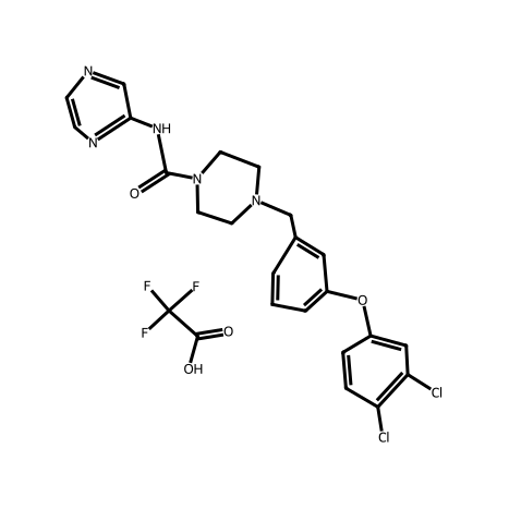 O=C(Nc1cnccn1)N1CCN(Cc2cccc(Oc3ccc(Cl)c(Cl)c3)c2)CC1.O=C(O)C(F)(F)F